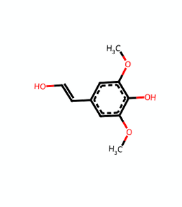 COc1cc(/C=C/O)cc(OC)c1O